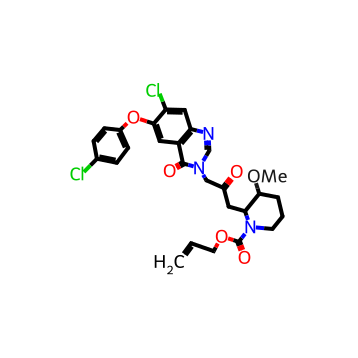 C=CCOC(=O)N1CCCC(OC)C1CC(=O)Cn1cnc2cc(Cl)c(Oc3ccc(Cl)cc3)cc2c1=O